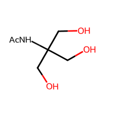 CC(=O)NC(CO)(CO)CO